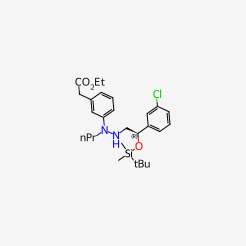 CCCN(NC[C@H](O[Si](C)(C)C(C)(C)C)c1cccc(Cl)c1)c1cccc(CC(=O)OCC)c1